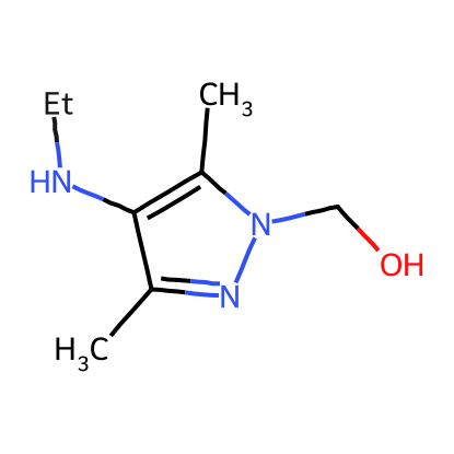 CCNc1c(C)nn(CO)c1C